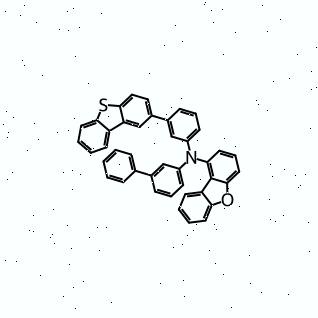 c1ccc(-c2cccc(N(c3cccc(-c4ccc5sc6ccccc6c5c4)c3)c3cccc4oc5ccccc5c34)c2)cc1